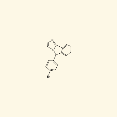 Brc1ccc(C2c3ccccc3-c3nccn32)cc1